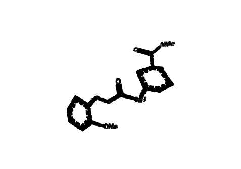 CNC(=O)c1cccc(NC(=O)CCc2ccccc2OC)c1